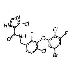 O=C(NCc1ccc(Cl)c(Oc2cc(Br)cc(F)c2Cl)c1F)c1[nH]cnc1Cl